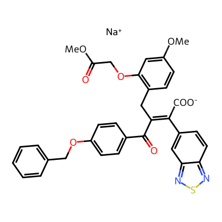 COC(=O)COc1cc(OC)ccc1CC(C(=O)c1ccc(OCc2ccccc2)cc1)=C(C(=O)[O-])c1ccc2nsnc2c1.[Na+]